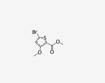 COC(=O)c1sc(Br)cc1OC